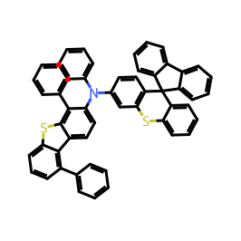 c1ccc(-c2c(N(c3ccccc3)c3ccc4c(c3)Sc3ccccc3C43c4ccccc4-c4ccccc43)ccc3c2sc2cccc(-c4ccccc4)c23)cc1